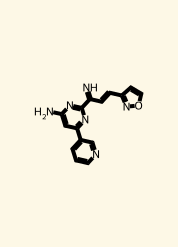 N=C(/C=C/c1ccon1)c1nc(N)cc(-c2cccnc2)n1